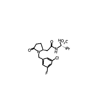 CC(C)[C@H](NC(=O)C[C@@H]1CCC(=O)N1Cc1cc(F)cc(Cl)c1)C(=O)O